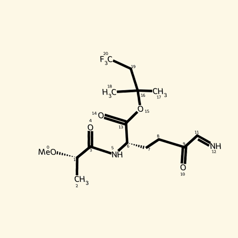 CO[C@@H](C)C(=O)N[C@@H](CCC(=O)C=N)C(=O)OC(C)(C)CC(F)(F)F